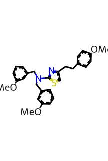 COc1ccc(CCc2csc(N(Cc3cccc(OC)c3)Cc3cccc(OC)c3)n2)cc1